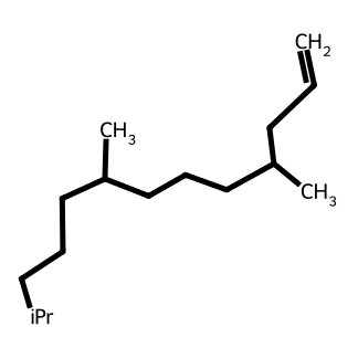 C=CCC(C)CCCC(C)CCCC(C)C